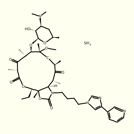 CC[C@H]1OC(=O)[C@H](C)C(=O)[C@H](C)[C@@H](O[C@@H]2O[C@H](C)C[C@H](N(C)C)[C@H]2O)[C@](C)(OC)C[C@@H](C)C(=O)[C@H](C)[C@H]2N(CCCCn3cnc(-c4cccnc4)c3)C(=O)O[C@]12C.[SiH4]